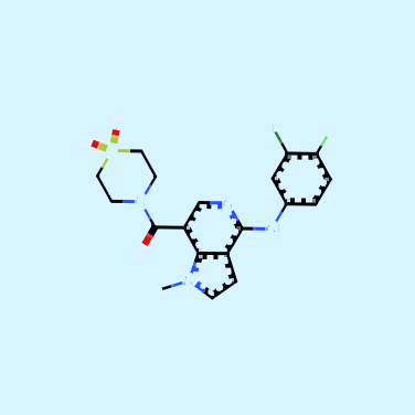 Cn1ccc2c(Nc3ccc(F)c(Cl)c3)ncc(C(=O)N3CCS(=O)(=O)CC3)c21